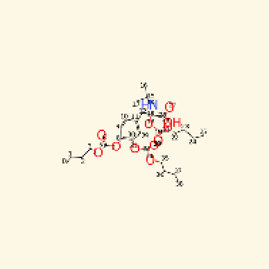 CCCCOC(=O)Oc1ccc(C[C@](NC(C)C)(OC(=O)OCCCC)C(=O)O)cc1OC(=O)OCCCC